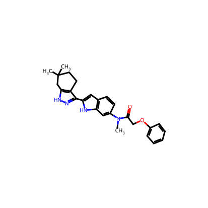 CN(C(=O)COc1ccccc1)c1ccc2cc(-c3n[nH]c4c3CCC(C)(C)C4)[nH]c2c1